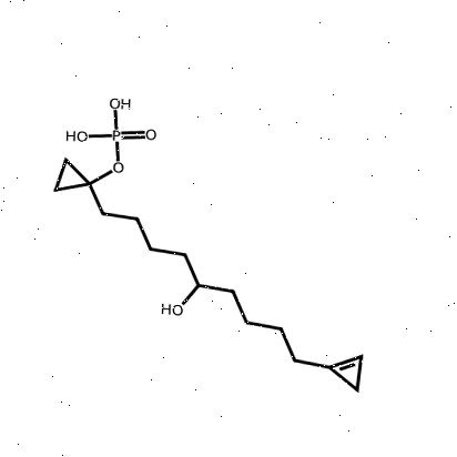 O=P(O)(O)OC1(CCCCC(O)CCCCC2=CC2)CC1